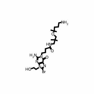 CC(C)(CNC(=O)CCCn1c(N)nc2c(nc(Br)n2CCO)c1=O)COC(C)(C)CCCN